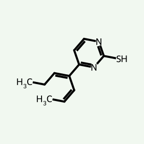 C/C=C\C(=C/CC)c1ccnc(S)n1